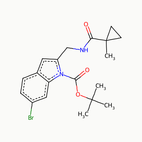 CC(C)(C)OC(=O)n1c(CNC(=O)C2(C)CC2)cc2ccc(Br)cc21